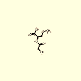 CCC(=O)OC(CSC)C(=O)O